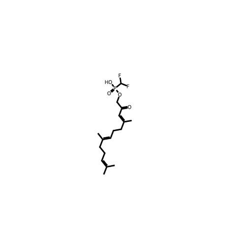 CC(C)=CCCC(C)=CCCC(C)=CC(=O)COP(=O)(O)C(F)F